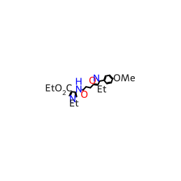 CCOC(=O)c1cn(CC)cc1NC(=O)CCc1onc(-c2ccc(OC)cc2)c1CC